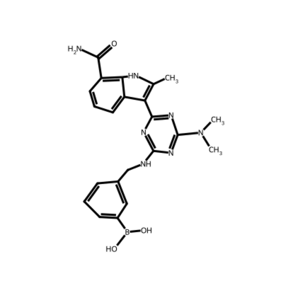 Cc1[nH]c2c(C(N)=O)cccc2c1-c1nc(NCc2cccc(B(O)O)c2)nc(N(C)C)n1